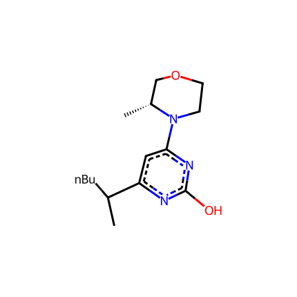 CCCCC(C)c1cc(N2CCOC[C@H]2C)nc(O)n1